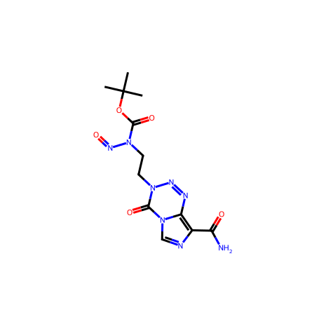 CC(C)(C)OC(=O)N(CCn1nnc2c(C(N)=O)ncn2c1=O)N=O